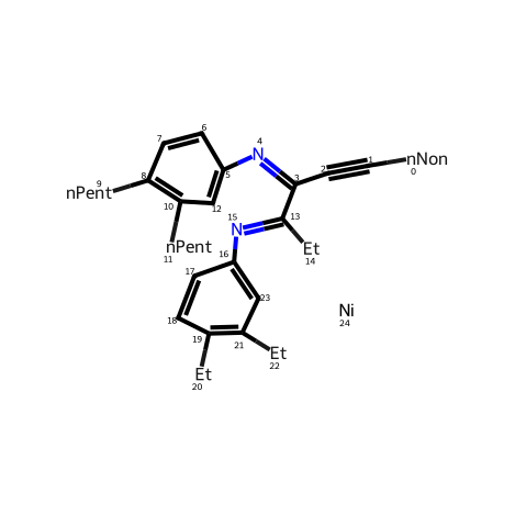 CCCCCCCCCC#CC(=Nc1ccc(CCCCC)c(CCCCC)c1)C(CC)=Nc1ccc(CC)c(CC)c1.[Ni]